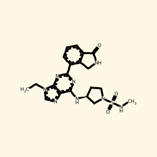 CCn1cnc2c(N[C@H]3CCN(S(=O)(=O)NC)C3)nc(-c3cccc4c3CNC4=O)nc21